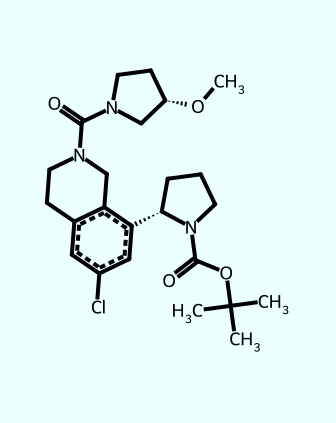 CO[C@H]1CCN(C(=O)N2CCc3cc(Cl)cc([C@@H]4CCCN4C(=O)OC(C)(C)C)c3C2)C1